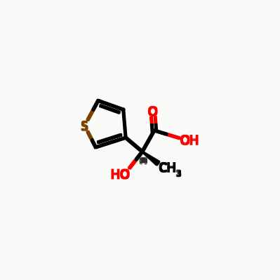 C[C@](O)(C(=O)O)c1ccsc1